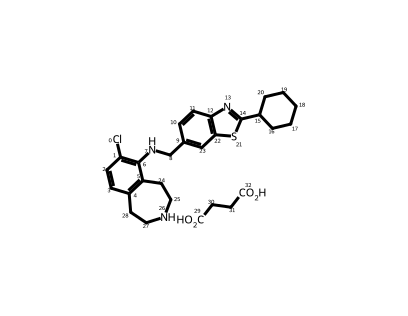 Clc1ccc2c(c1NCc1ccc3nc(C4CCCCC4)sc3c1)CCNCC2.O=C(O)CCC(=O)O